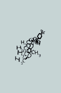 CC#COc1c(C)c(C)c2c(c1C)CCC(C)(C(=O)NS(=O)(=O)c1ccc(Br)cc1)O2